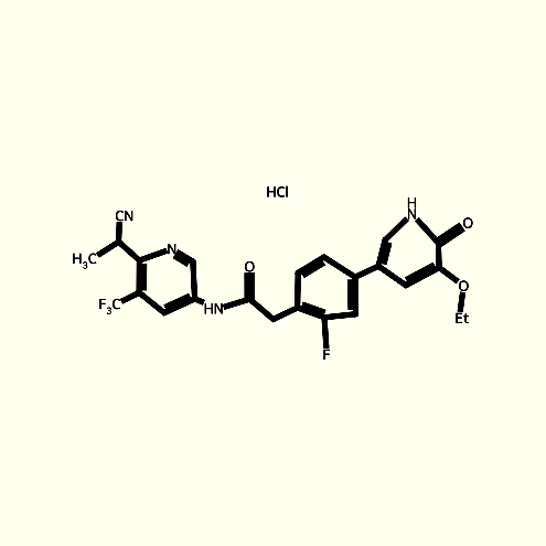 CCOc1cc(-c2ccc(CC(=O)Nc3cnc(C(C)C#N)c(C(F)(F)F)c3)c(F)c2)c[nH]c1=O.Cl